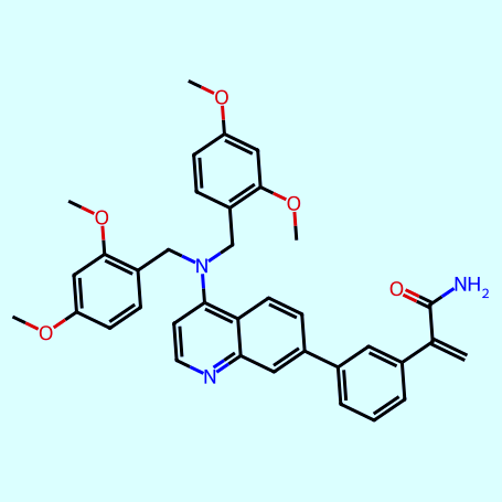 C=C(C(N)=O)c1cccc(-c2ccc3c(N(Cc4ccc(OC)cc4OC)Cc4ccc(OC)cc4OC)ccnc3c2)c1